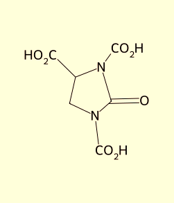 O=C(O)C1CN(C(=O)O)C(=O)N1C(=O)O